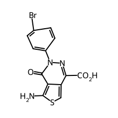 Nc1scc2c(C(=O)O)nn(-c3ccc(Br)cc3)c(=O)c12